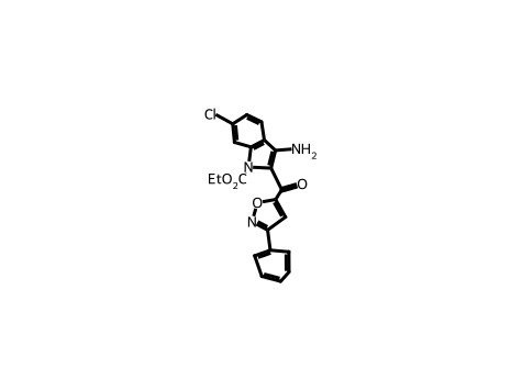 CCOC(=O)n1c(C(=O)c2cc(-c3ccccc3)no2)c(N)c2ccc(Cl)cc21